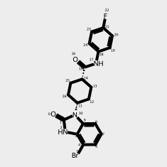 O=c1[nH]c2c(Br)cccc2n1[C@H]1CC[C@@H](C(=O)Nc2ccc(F)cc2)CC1